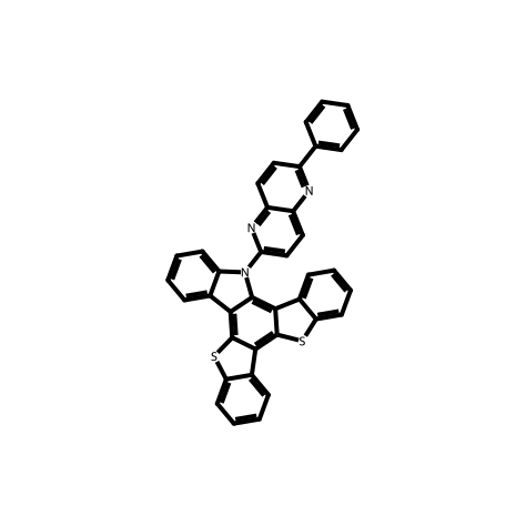 c1ccc(-c2ccc3nc(-n4c5ccccc5c5c6sc7ccccc7c6c6sc7ccccc7c6c54)ccc3n2)cc1